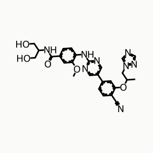 COc1cc(C(=O)NC(CO)CO)ccc1Nc1ncc(-c2ccc(C#N)c(OC(C)Cn3cncn3)c2)cn1